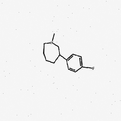 CN1CCCCC(c2ccc(F)cc2)C1